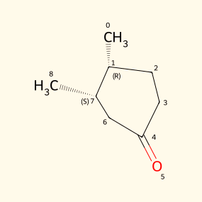 C[C@@H]1CCC(=O)C[C@@H]1C